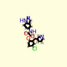 O=C(COc1ccc(Cl)cc1C(=O)c1cccnc1)Nc1ccc2[nH]ncc2c1